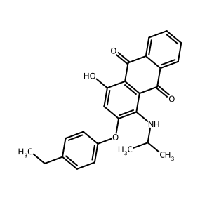 CCc1ccc(Oc2cc(O)c3c(c2NC(C)C)C(=O)c2ccccc2C3=O)cc1